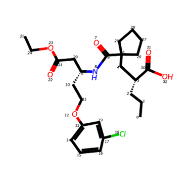 CCC[C@H](CC1(C(=O)N[C@H](CCOc2cccc(Cl)c2)CC(=O)OCC)CCCC1)C(=O)O